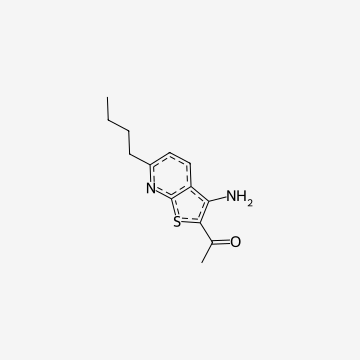 CCCCc1ccc2c(N)c(C(C)=O)sc2n1